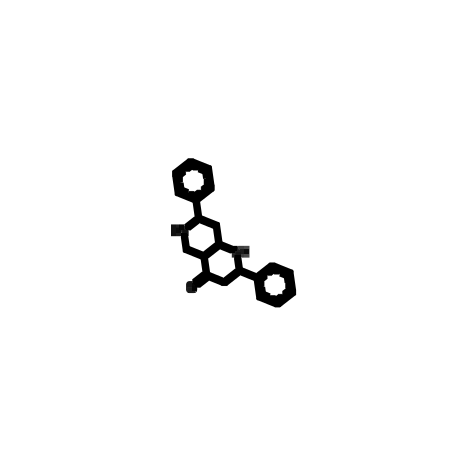 O=C1CC(c2ccccc2)NC2CC(c3ccccc3)NCC12